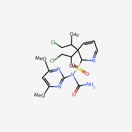 COc1cc(OC)nc(N(C(N)=O)S(=O)(=O)C2N=CC=CC2(C(CCl)OC(C)=O)C(CCl)OC(C)=O)n1